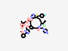 C#C/C(Cl)=C1\C=C/Cc2c(-c3ccc(F)cc3)sc3ncnc(c23)O[C@@H](C(=O)OCc2oc(=O)oc2C)Cc2cc(ccc2OCc2ccnc(-c3ccccc3OC)n2)CC(=O)N(CCN2CCN(C)CC2)C1